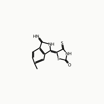 Cc1ccc2c(c1)/C(=C1\SC(=O)NC1=S)NC2=N